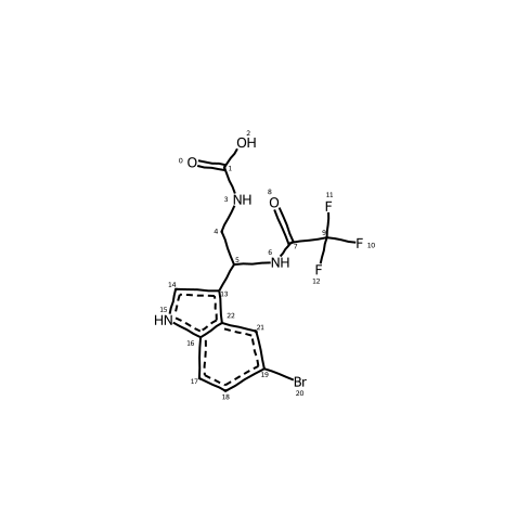 O=C(O)NCC(NC(=O)C(F)(F)F)c1c[nH]c2ccc(Br)cc12